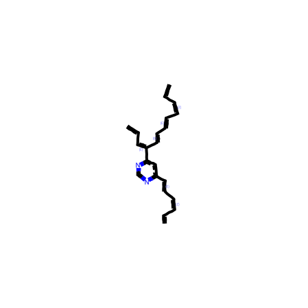 C=C\C=C/C=C/C=C/C(=C\C=C)c1cc(/C=C/C=C\C=C)ncn1